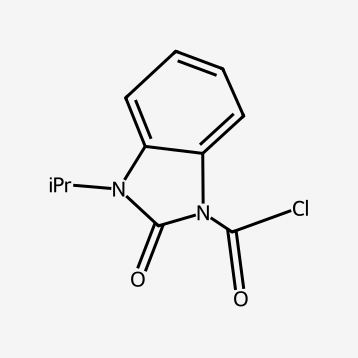 CC(C)n1c(=O)n(C(=O)Cl)c2ccccc21